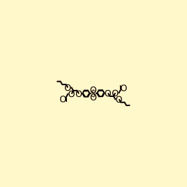 CCCCOCC(COc1ccc(S(=O)(=O)c2ccc(OCC(COCCCC)OCC3CO3)cc2)cc1)OCC1CO1